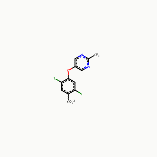 O=C(O)c1cc(F)c(Oc2cnc(C(F)(F)F)nc2)cc1F